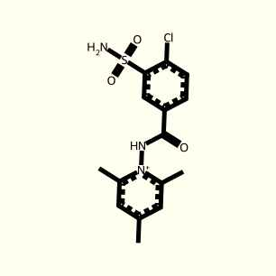 Cc1cc(C)[n+](NC(=O)c2ccc(Cl)c(S(N)(=O)=O)c2)c(C)c1